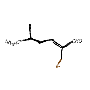 COC(C)C/C=C(\Br)C=O